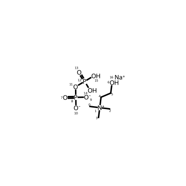 C[N+](C)(C)CCO.O=P([O-])([O-])OP(=O)(O)O.[Na+]